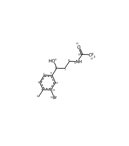 Cc1ccc(C(O)CCNC(=O)C(F)(F)F)cc1Br